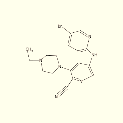 CCN1CCN(c2c(C#N)ncc3[nH]c4ncc(Br)cc4c23)CC1